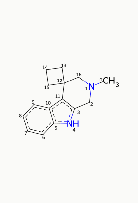 CN1Cc2[nH]c3ccccc3c2C2(CCC2)C1